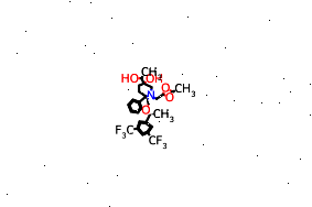 CC1OC(CN2CC(O)(C(C)O)CC[C@@]2(CO[C@H](C)c2cc(C(F)(F)F)cc(C(F)(F)F)c2)c2ccccc2)O1